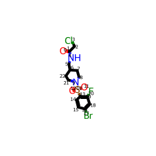 O=C(CCl)NCC1CCN(S(=O)(=O)c2ccc(Br)cc2F)CC1